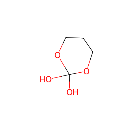 OC1(O)OCCCO1